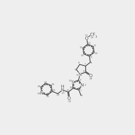 Cc1nc(N2CCC(Cc3ccc(OC(F)(F)F)cc3)C2=O)sc1C(=O)NCc1cccnc1